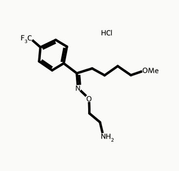 COCCCC/C(=N\OCCN)c1ccc(C(F)(F)F)cc1.Cl